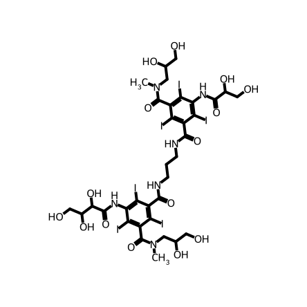 CN(CC(O)CO)C(=O)c1c(I)c(NC(=O)C(O)CO)c(I)c(C(=O)NCCCNC(=O)c2c(I)c(NC(=O)C(O)C(O)CO)c(I)c(C(=O)N(C)CC(O)CO)c2I)c1I